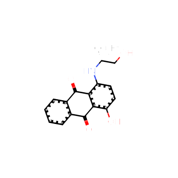 CCOC(=O)[C@H](CO)Nc1ccc(O)c2c1C(=O)c1ccccc1C2=O